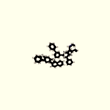 C=Cc1sc2c(-c3ccccc3)nc(-c3cc(-c4ccccc4)cc(-n4c5cc6sc7ccccc7c6cc5c5ccc6ccccc6c54)c3)nc2c1/C=C\C